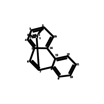 [N-]=[N+]1c2ccc3cc1c1ccccc1c3c2